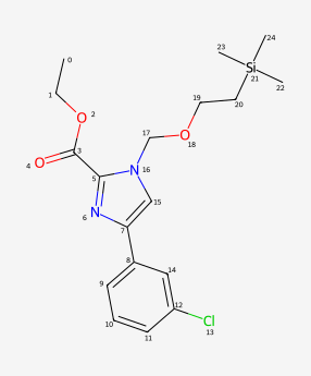 CCOC(=O)c1nc(-c2cccc(Cl)c2)cn1COCC[Si](C)(C)C